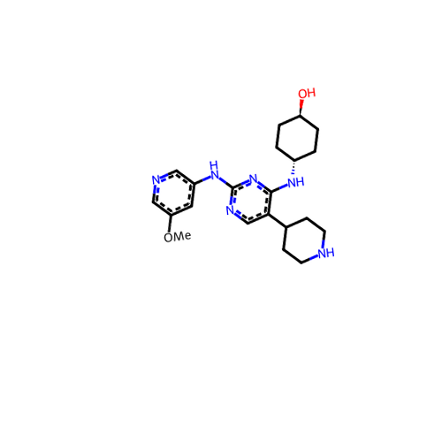 COc1cncc(Nc2ncc(C3CCNCC3)c(N[C@H]3CC[C@H](O)CC3)n2)c1